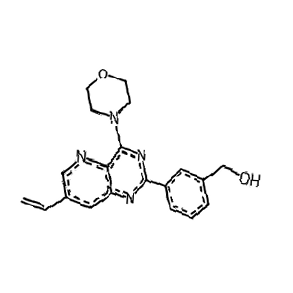 C=Cc1cnc2c(N3CCOCC3)nc(-c3cccc(CO)c3)nc2c1